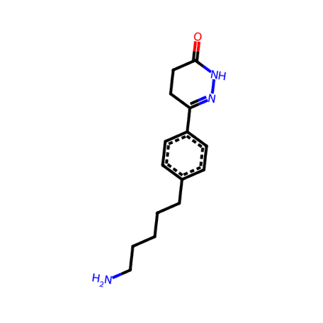 NCCCCCc1ccc(C2=NNC(=O)CC2)cc1